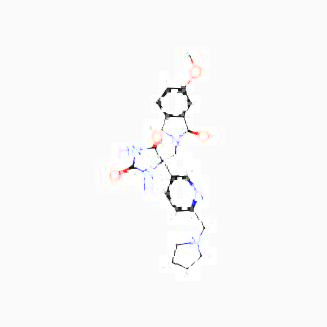 COc1ccc2c(c1)C(=O)N(C[C@@]1(c3ccc(CN4CCCC4)nc3)NC(=O)NC1=O)C2